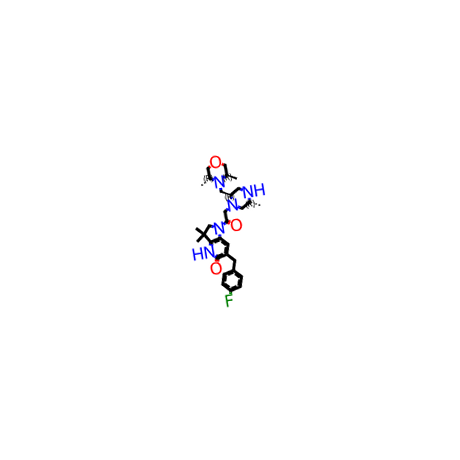 C[C@@H]1CN(CC(=O)N2CC(C)(C)c3[nH]c(=O)c(Cc4ccc(F)cc4)cc32)[C@@H](CN2[C@H](C)COC[C@H]2C)CN1